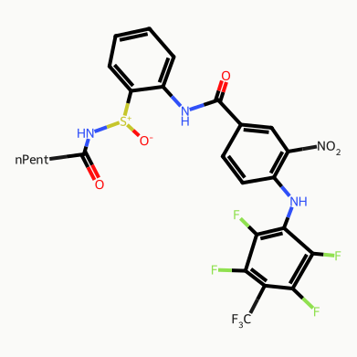 CCCCCC(=O)N[S+]([O-])c1ccccc1NC(=O)c1ccc(Nc2c(F)c(F)c(C(F)(F)F)c(F)c2F)c([N+](=O)[O-])c1